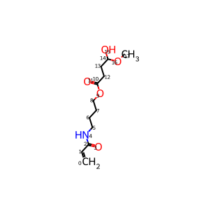 C=CC(=O)NCCCCOC(=O)CCC(O)OC